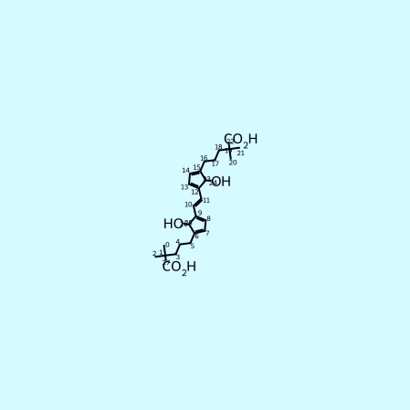 CC(C)(CCCC1=CC=C(/C=C/C2=CC=C(CCCC(C)(C)C(=O)O)C2O)C1O)C(=O)O